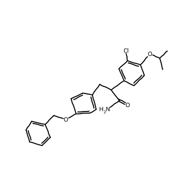 CC(C)Oc1ccc(C(Cc2ccc(OCc3ccccc3)cc2)C(N)=O)cc1Cl